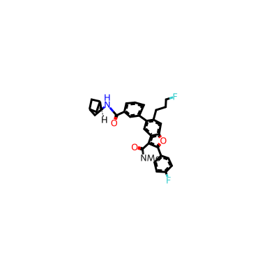 CNC(=O)c1c(-c2ccc(F)cc2)oc2cc(CCCF)c(-c3cccc(C(=O)N[C@H]4CC5CC4C5)c3)cc12